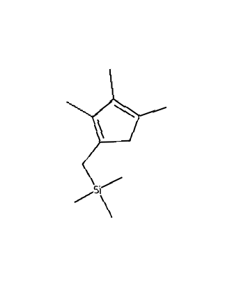 CC1=C(C)C(C)=C(C[Si](C)(C)C)C1